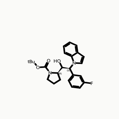 CC(C)(C)OC(=O)N1CCC[C@@H]1C(O)[C@H](c1cccc(F)c1)n1ccc2ccccc21